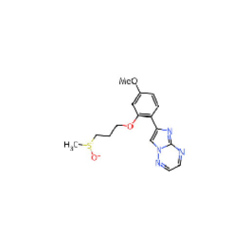 COc1ccc(-c2cn3nccnc3n2)c(OCCC[S+](C)[O-])c1